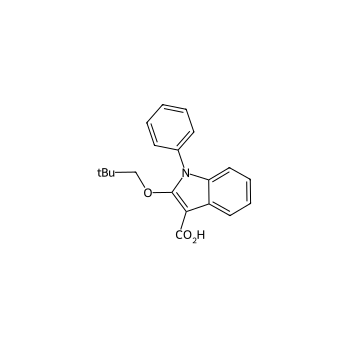 CC(C)(C)COc1c(C(=O)O)c2ccccc2n1-c1ccccc1